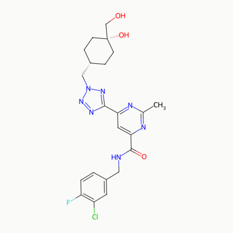 Cc1nc(C(=O)NCc2ccc(F)c(Cl)c2)cc(-c2nnn(C[C@H]3CC[C@](O)(CO)CC3)n2)n1